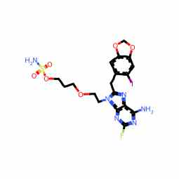 Nc1nc(F)nc2c1nc(Cc1cc3c(cc1I)OCO3)n2CCOCCCOS(N)(=O)=O